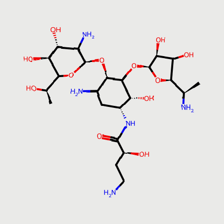 C[C@@H](O)C1O[C@H](O[C@@H]2C(N)C[C@@H](NC(=O)[C@@H](O)CCN)[C@@H](O)C2O[C@@H]2O[C@H]([C@@H](C)N)C(O)[C@@H]2O)C(N)[C@@H](O)[C@@H]1O